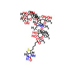 CC(=O)NC1(C)[C@@](C)(COC[C@]2(C)C(C)(C)O[C@](C)(OC(=O)CCCCC3SC[C@@H]4NC(=O)N[C@H]34)C(O)[C@@]2(C)O)OC(C)(CO)[C@@H](O)[C@@]1(C)COC[C@]1(C)OC(C)(CO)[C@](C)(O)[C@@](C)(O)C1(C)O